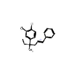 CCC(N)(C/C=C/c1ccccc1)c1ccc(Cl)c(Cl)c1